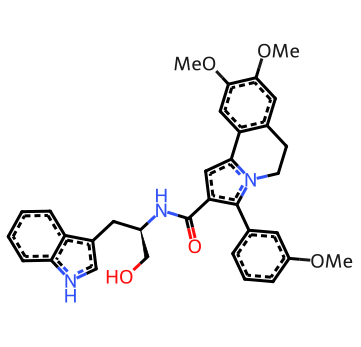 COc1cccc(-c2c(C(=O)N[C@@H](CO)Cc3c[nH]c4ccccc34)cc3n2CCc2cc(OC)c(OC)cc2-3)c1